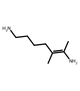 CC(N)=C(C)CCCCN